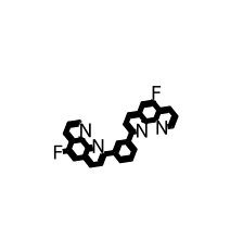 Fc1cc2ccc(-c3cccc(-c4ccc5cc(F)c6cccnc6c5n4)c3)nc2c2ncccc12